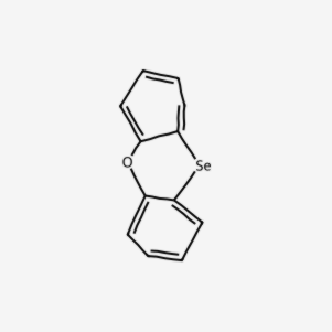 c1ccc2c(c1)Oc1ccccc1[Se]2